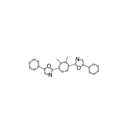 Cc1c(-c2ncc(-c3ccccc3)o2)ccc(-c2ncc(-c3ccccc3)o2)c1C